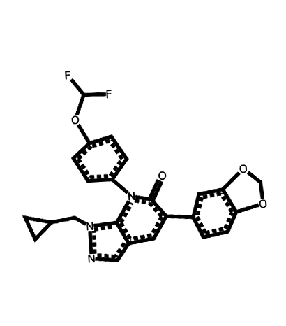 O=c1c(-c2ccc3c(c2)OCO3)cc2cnn(CC3CC3)c2n1-c1ccc(OC(F)F)cc1